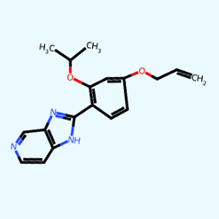 C=CCOc1ccc(-c2nc3cnccc3[nH]2)c(OC(C)C)c1